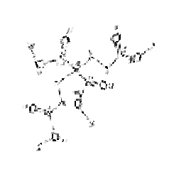 COC(=O)CCC(CCC(=O)OC)(C(=O)OC)C(=O)OC